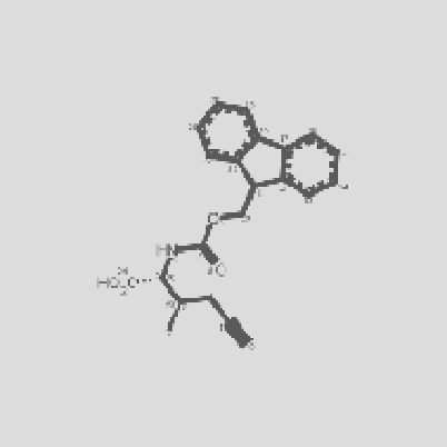 C#CC[C@@H](C)[C@@H](NC(=O)OCC1c2ccccc2-c2ccccc21)C(=O)O